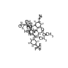 COC(=O)C1=C(C)N(c2cccc(C(F)(F)F)c2)c2n[nH]c(=O)n2[C@@H]1c1ccc(C#N)cc1CC[N+](C)(C)C1COC1